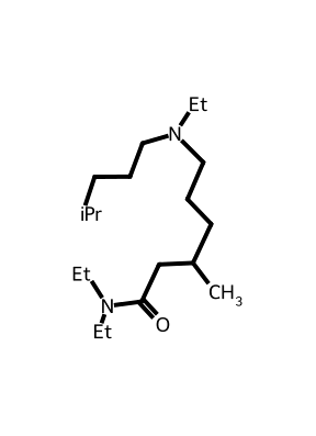 CCN(CCCC(C)C)CCCC(C)CC(=O)N(CC)CC